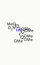 COc1ccc(SNc2c(/C=C\c3cc(OC)c(OC)c(OC)c3)ccc(OC)c2OC)cc1[N+](=O)[O-]